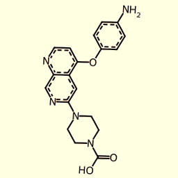 Nc1ccc(Oc2ccnc3cnc(N4CCN(C(=O)O)CC4)cc23)cc1